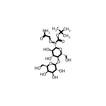 CC(C)(C)OC(=O)N(OCC(N)=O)[C@@H]1O[C@H](CO)[C@@H](O[C@@H]2O[C@H](CO)[C@H](O)[C@H](O)[C@H]2O)[C@H](O)[C@H]1O